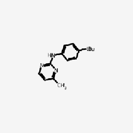 Cc1ccnc(Nc2ccc(C(C)(C)C)cc2)n1